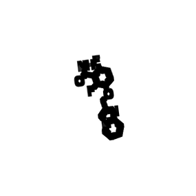 NC(=O)c1c(F)ccc(OCc2cn3ccccc3n2)c1F